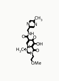 COCCN1CN(C)n2cc(C(=O)NCc3cnc(C)cn3)c(=O)c(O)c2C1=O